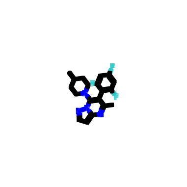 Cc1nc2ccnn2c(N2CCC(C)CC2)c1-c1c(F)cc(F)cc1F